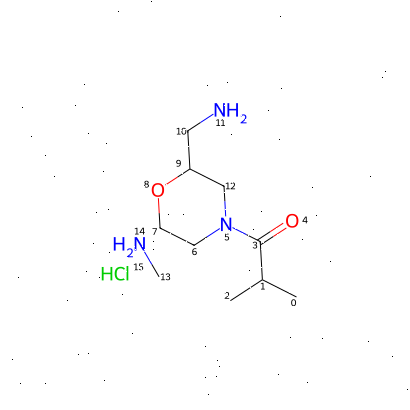 CC(C)C(=O)N1CCOC(CN)C1.CN.Cl